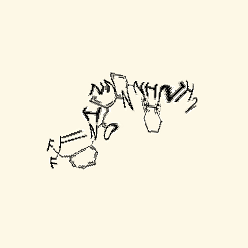 N[C@H]1CCCC[C@H]1Nc1ccn2ncc(C(=O)Nc3ccccc3C(F)(F)F)c2n1